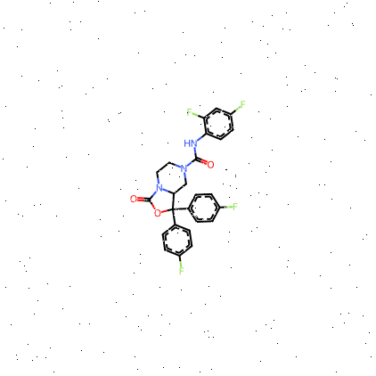 O=C(Nc1ccc(F)cc1F)N1CCN2C(=O)OC(c3ccc(F)cc3)(c3ccc(F)cc3)C2C1